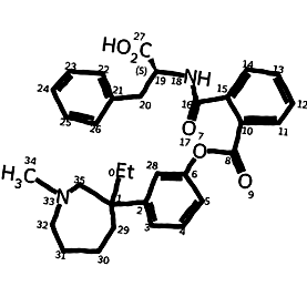 CCC1(c2cccc(OC(=O)c3ccccc3C(=O)N[C@@H](Cc3ccccc3)C(=O)O)c2)CCCCN(C)C1